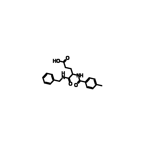 Cc1ccc(C(=O)NC(CCC(=O)O)C(=O)NCc2ccccc2)cc1